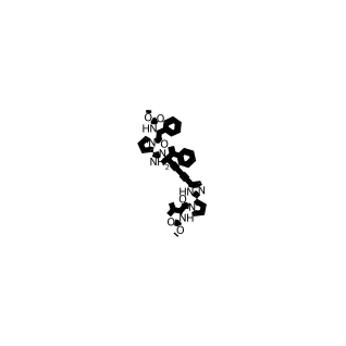 C=C(c1ccccc1)C(C)(C#CC#Cc1cnc([C@@H]2CCCN2C(=O)[C@@H](NC(=O)OC)C(C)C)[nH]1)/N=C(\N)[C@@H]1CCCN1C(=O)[C@H](NC(=O)OC)c1ccccc1